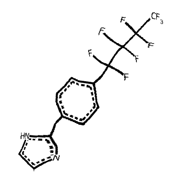 FC(F)(F)C(F)(F)C(F)(F)C(F)(F)c1ccc(-c2n[c]c[nH]2)cc1